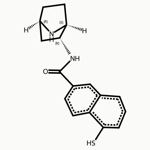 O=C(N[C@@H]1C[C@H]2CC[C@@H]1N2)c1ccc2c(S)cccc2c1